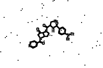 CCN(CC)c1ccc(C(=O)NC(CC(C)C)C(=O)N2CCC3C2C(=O)CN3C(=O)c2ccncc2)cc1